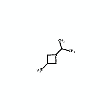 BC1CN(C(C)C)C1